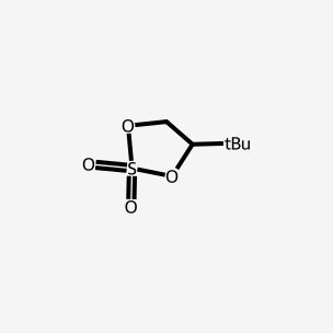 CC(C)(C)C1COS(=O)(=O)O1